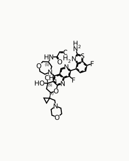 C=CC(=O)N[C@@H]1COCCN(c2c3c(nc4c(F)c(-c5ccc(F)c6sc(N)nc56)ncc24)O[C@@H](C2(CN4CCOCC4)CC2)C[C@]3(C)O)C1